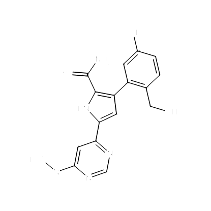 CCc1ccc(Cl)cc1-c1cc(-c2cc(NC)ncn2)[nH]c1C(N)=O